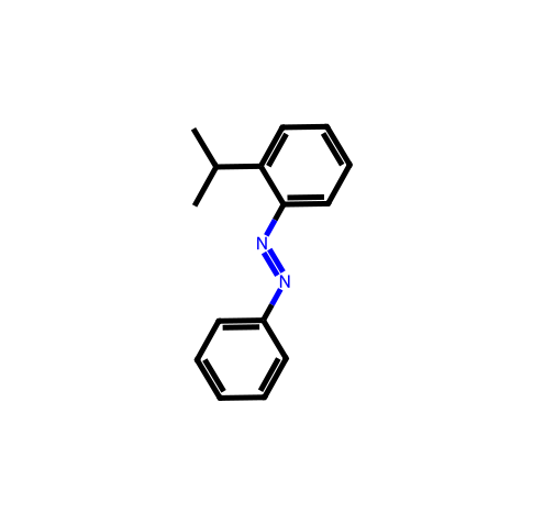 C[C](C)c1ccccc1N=Nc1ccccc1